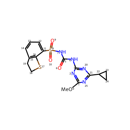 COc1nc(NC(=O)NS(=O)(=O)c2cccc3c2SCC3)nc(C2CC2)n1